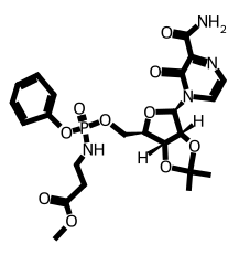 COC(=O)CCNP(=O)(OC[C@H]1O[C@@H](n2ccnc(C(N)=O)c2=O)[C@@H]2OC(C)(C)O[C@@H]21)Oc1ccccc1